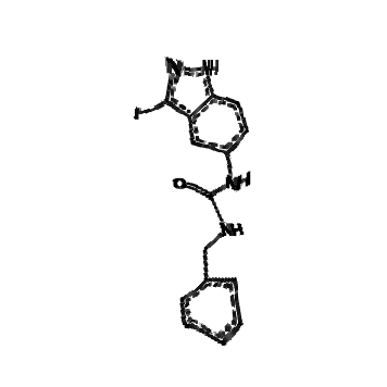 O=C(NCc1ccccc1)Nc1ccc2[nH]nc(I)c2c1